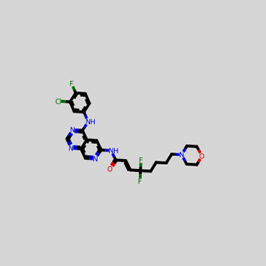 O=C(C=CC(F)(F)CCCCN1CCOCC1)Nc1cc2c(Nc3ccc(F)c(Cl)c3)ncnc2cn1